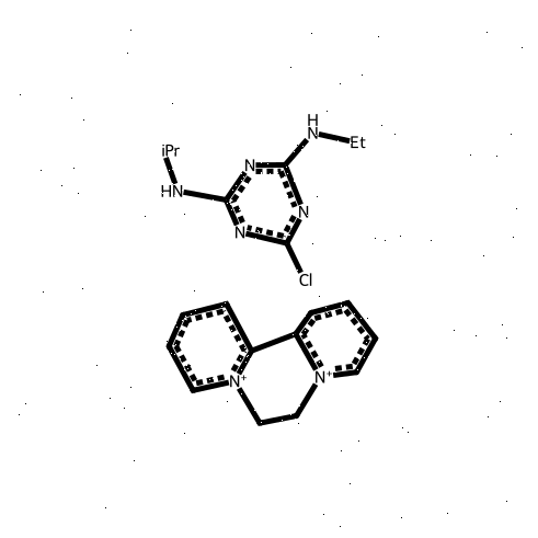 CCNc1nc(Cl)nc(NC(C)C)n1.c1cc[n+]2c(c1)-c1cccc[n+]1CC2